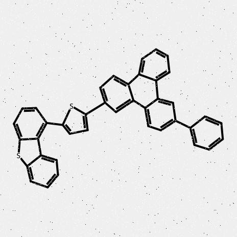 c1ccc(-c2ccc3c(c2)c2ccccc2c2ccc(-c4ccc(-c5cccc6sc7ccccc7c56)s4)cc23)cc1